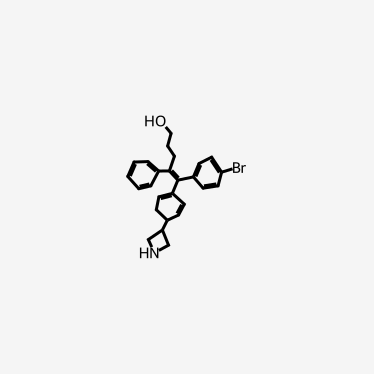 OCCC/C(=C(/C1=CCC(C2CNC2)C=C1)c1ccc(Br)cc1)c1ccccc1